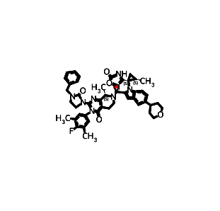 Cc1cc(-n2c(N3CCN(Cc4ccccc4)C3=O)nc3c(c2=O)CCN(C(=O)c2cc4cc(C5CCOCC5)ccc4n2[C@@]2(c4noc(=O)[nH]4)C[C@@H]2C)[C@H]3C)cc(C)c1F